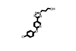 OCCCn1nnc(-c2ccc(Oc3ccc(Cl)cc3)nc2)n1